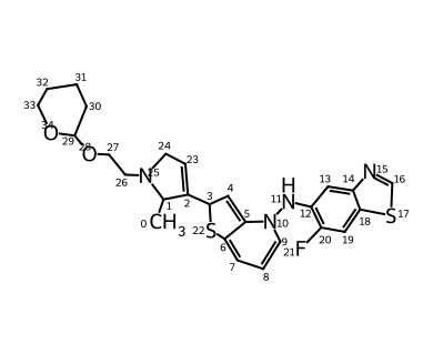 CC1C(C2C=C3C(=CC=CN3Nc3cc4ncsc4cc3F)S2)=CCN1CCOC1CCCCO1